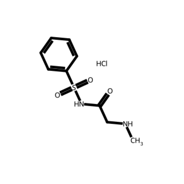 CNCC(=O)NS(=O)(=O)c1ccccc1.Cl